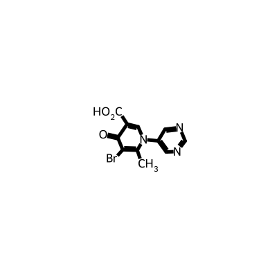 Cc1c(Br)c(=O)c(C(=O)O)cn1-c1cncnc1